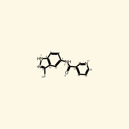 O=C(Nc1ccc2[nH]nc(I)c2c1)c1cccnc1